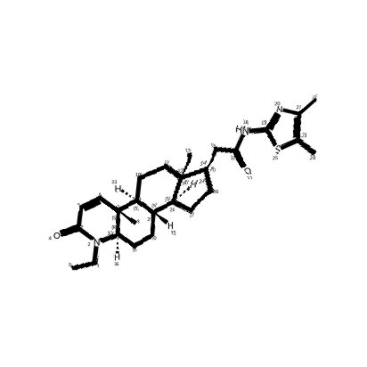 CCN1C(=O)C=C[C@]2(C)[C@H]3CC[C@]4(C)[C@@H](CC(=O)Nc5nc(C)c(C)s5)CC[C@H]4[C@@H]3CC[C@@H]12